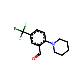 O=Cc1cc(C(F)(F)F)ccc1N1CCCCC1